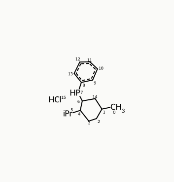 CC1CCC(C(C)C)C(Pc2ccccc2)C1.Cl